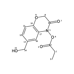 CCC(=O)ON1C(=O)COc2ccc(CO)cc21